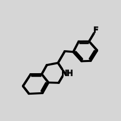 Fc1cccc(CC2CC3=CCCC=C3CN2)c1